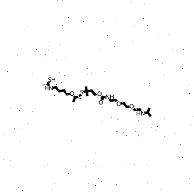 CC(C)NCCOCCOCCNC(=O)OCCC(C)(C)SSC(C)OCCCCN[C@H](C)S